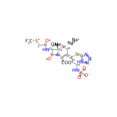 CO[C@@]1(NC(=O)CSC(F)(F)F)C(=O)N2C(C(=O)[O-])=C(C(CCNS(=O)(=O)[O-])Sc3nnn[nH]3)CS[C@H]21.[Na+].[Na+]